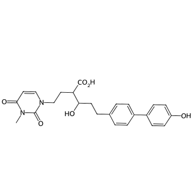 Cn1c(=O)ccn(CCC(C(=O)O)C(O)CCc2ccc(-c3ccc(O)cc3)cc2)c1=O